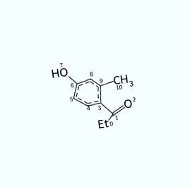 CCC(=O)c1ccc(O)cc1C